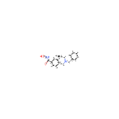 C#CCN(Cc1ccccc1)Cc1ccc(C(=O)NO)cc1